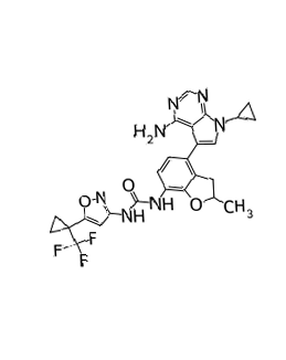 CC1Cc2c(-c3cn(C4CC4)c4ncnc(N)c34)ccc(NC(=O)Nc3cc(C4(C(F)(F)F)CC4)on3)c2O1